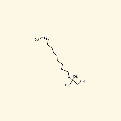 CCCCCCCC/C=C\CCCCCCCCOC(C)(C)CO